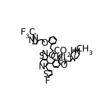 Cc1c(-c2c(-c3ccc(F)s3)ncc3snc(O[C@H](Cc4ccccc4OCc4ccnn4CC(F)(F)F)C(=O)O)c23)ccc(OCCN2CCN(C)CC2)c1Cl